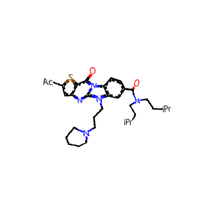 CC(=O)c1cc2nc3n(CCCN4CCCCC4)c4cc(C(=O)N(CCC(C)C)CCC(C)C)ccc4n3c(=O)c2s1